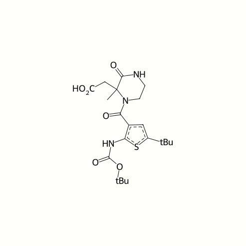 CC(C)(C)OC(=O)Nc1sc(C(C)(C)C)cc1C(=O)N1CCNC(=O)C1(C)CC(=O)O